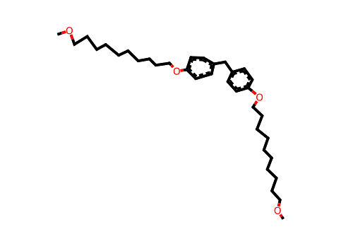 COCCCCCCCCCCOc1ccc(Cc2ccc(OCCCCCCCCCCOC)cc2)cc1